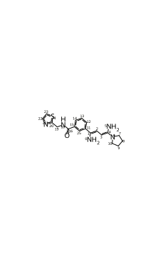 N/C(=C\C=C(/N)N1CCCC1)c1cccc(C(=O)NCc2nccs2)c1